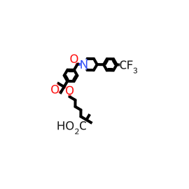 CC(C)(CCCCCOC1(c2ccc(C(=O)N3CCC(c4ccc(C(F)(F)F)cc4)CC3)cc2)COC1)C(=O)O